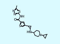 Cc1nnc(NC(=O)c2cc(C3CC3NC3CCN(C4CC4)CC3)cs2)s1